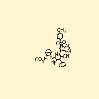 Cc1ccc(S(=O)(=O)n2cc(-c3nc(NC4C5CCC(CC5)C4C(=O)O)c(F)c(-c4ccco4)c3C#N)c3cncnc32)cc1